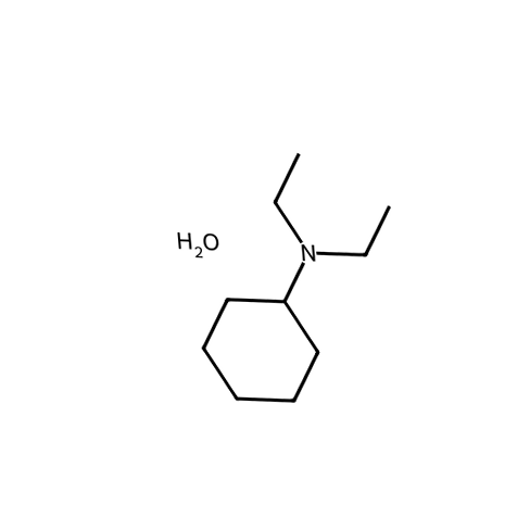 CCN(CC)C1CCCCC1.O